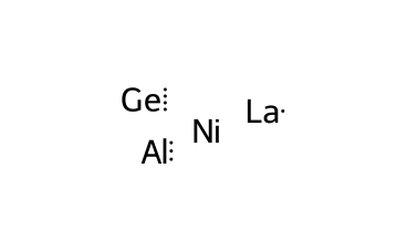 [Al].[Ge].[La].[Ni]